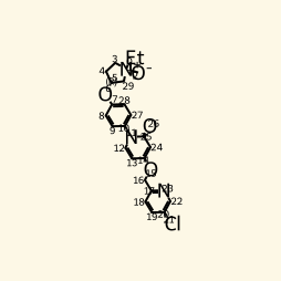 CC[N+]1([O-])CC[C@@H](Oc2ccc(-n3ccc(OCc4ccc(Cl)cn4)cc3=O)cc2)C1